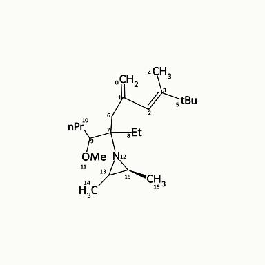 C=C(/C=C(\C)C(C)(C)C)CC(CC)(C(CCC)OC)N1C(C)[C@@H]1C